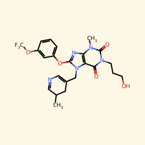 CC1C=NC=C(Cn2c(Oc3cccc(OC(F)(F)F)c3)nc3c2c(=O)n(CCCO)c(=O)n3C)C1